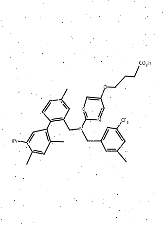 Cc1cc(CN(Cc2cc(C)ccc2-c2cc(C(C)C)c(C)cc2C)c2ncc(OCCCC(=O)O)cn2)cc(C(F)(F)F)c1